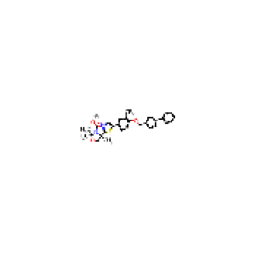 CC(C)(C)OC(=O)N1C(C)(C)OCC1(C)c1ncc(-c2ccc(OCc3ccc(-c4ccccc4)cc3)c(C(F)(F)F)c2)s1